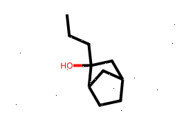 CCCC1(O)CC2CCC1C2